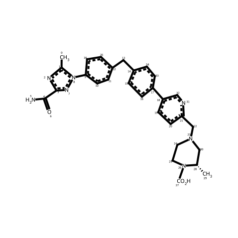 Cc1nc(C(N)=O)nn1-c1ccc(Cc2ccc(-c3ccc(CN4CCN(C(=O)O)[C@@H](C)C4)nc3)cc2)cc1